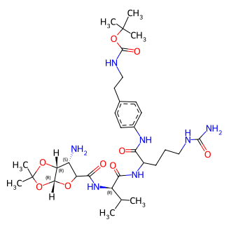 CC(C)[C@@H](NC(=O)C1O[C@@H]2OC(C)(C)O[C@@H]2[C@@H]1N)C(=O)NC(CCCNC(N)=O)C(=O)Nc1ccc(CCNC(=O)OC(C)(C)C)cc1